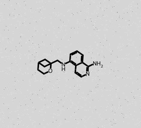 Nc1nccc2c(NCC34CC(CCO3)C4)cccc12